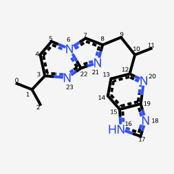 CC(C)c1ccn2cc(CC(C)c3ccc4[nH]cnc4n3)nc2n1